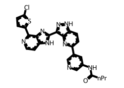 CCCC(=O)Nc1cncc(-c2ccc3[nH]nc(-c4nc5c(-c6ccc(Cl)s6)nccc5[nH]4)c3n2)c1